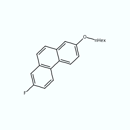 CCCCCCOc1ccc2c(ccc3cc(F)ccc32)c1